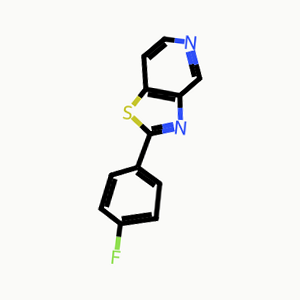 Fc1ccc(-c2nc3cnccc3s2)cc1